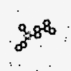 c1ccc(-c2nc(-c3ccc4ccccc4c3)nc(-c3cccc4c(-c5cc6ccccc6c6ccccc56)cccc34)n2)cc1